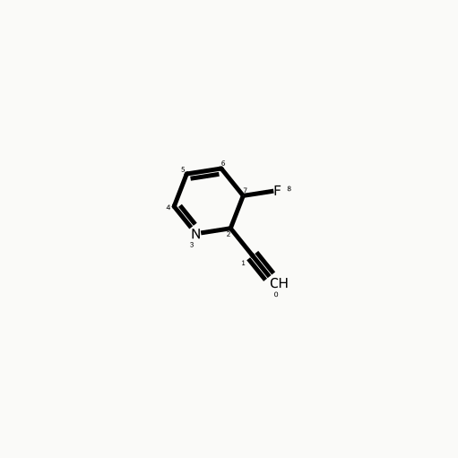 C#CC1N=CC=CC1F